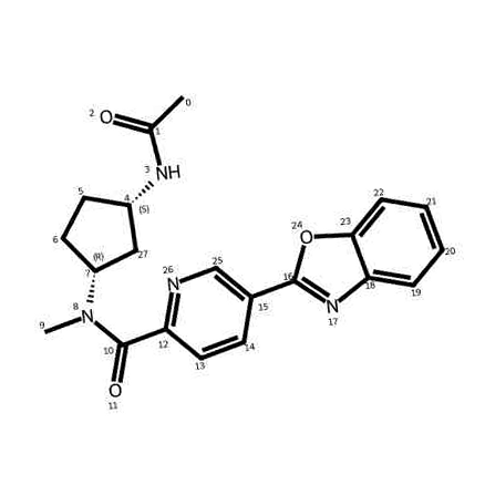 CC(=O)N[C@H]1CC[C@@H](N(C)C(=O)c2ccc(-c3nc4ccccc4o3)cn2)C1